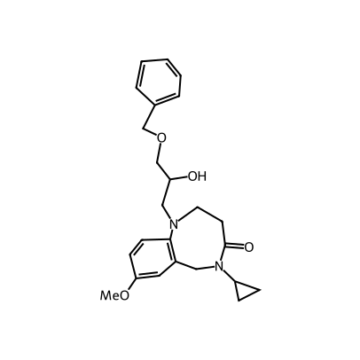 COc1ccc2c(c1)CN(C1CC1)C(=O)CCN2CC(O)COCc1ccccc1